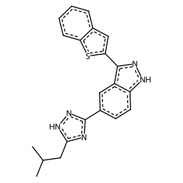 CC(C)Cc1nc(-c2ccc3[nH]nc(-c4cc5ccccc5s4)c3c2)n[nH]1